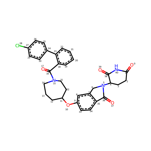 O=C1CCC(N2Cc3cc(OC4CCCN(C(=O)c5ccccc5-c5ccc(Cl)cc5)CC4)ccc3C2=O)C(=O)N1